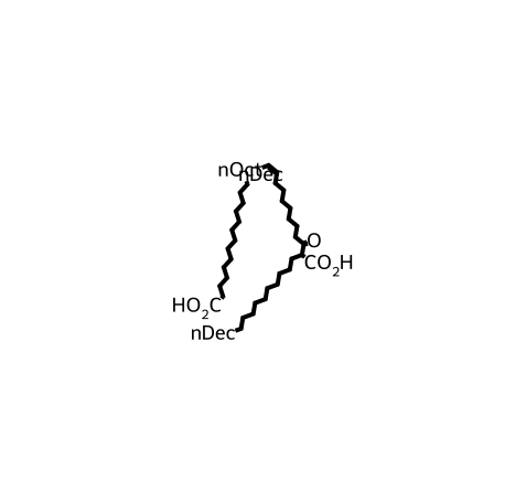 CCCCCCCC/C=C\CCCCCCCC(=O)C(CCCCCCCCCCCCCCCCCCCC)C(=O)O.CCCCCCCCCCCCCCCCCCCCCCCC(=O)O